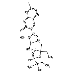 CCC(C)(C[C@H]1O[C@@H](c2cc3ncc(F)[nH]c-3nc2=S)[C@@H](O)C1O)OP(=O)(O)C(C)(O)CC